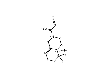 CC1(C)CCC=C2CN(C(=O)C=O)CC[C@H]21